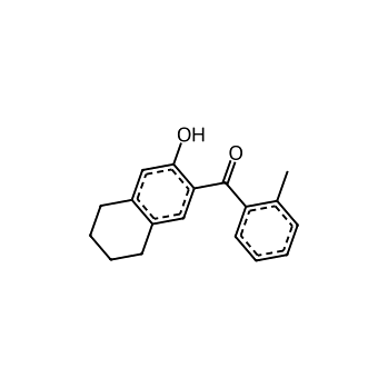 Cc1ccccc1C(=O)c1cc2c(cc1O)CCCC2